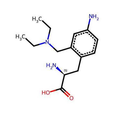 CCN(CC)Cc1cc(N)ccc1C[C@H](N)C(=O)O